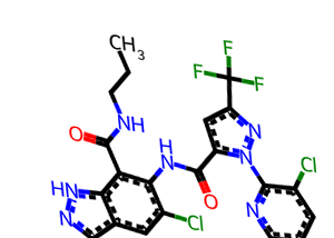 CCCNC(=O)c1c(NC(=O)c2cc(C(F)(F)F)nn2-c2ncccc2Cl)c(Cl)cc2cn[nH]c12